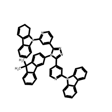 CC1(C)c2ccccc2-c2cc(-n3c(-c4ccnc(-n5c6c(c7ccccc75)C=CCC6)c4)nnc3-c3ccnc(-n4c5ccccc5c5ccccc54)c3)ccc21